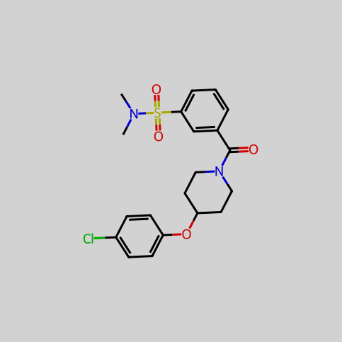 CN(C)S(=O)(=O)c1cccc(C(=O)N2CCC(Oc3ccc(Cl)cc3)CC2)c1